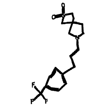 O=S1(=O)CC2(CCN(CCCc3ccc(C(F)(F)F)cc3)C2)C1